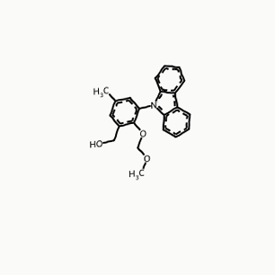 COCOc1c(CO)cc(C)cc1-n1c2ccccc2c2ccccc21